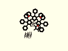 CC1=C(C)C(C)[C]([Ti][Si](c2cc(-c3ccccc3)c(-c3ccccc3)c(-c3ccccc3)c2C)(c2cc(-c3ccccc3)c(-c3ccccc3)c(-c3ccccc3)c2C)c2cc(-c3ccccc3)c(-c3ccccc3)c(-c3ccccc3)c2C)=C1C.Cl.Cl.Cl